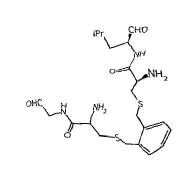 CC(C)C[C@@H](C=O)NC(=O)[C@@H](N)CSCc1ccccc1CSCC(N)C(=O)NCC=O